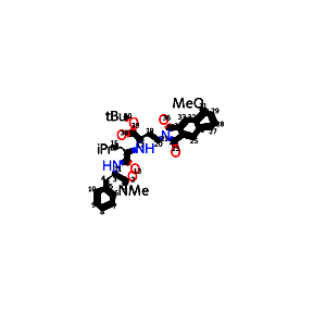 CNC(=O)[C@H](Cc1ccccc1)NC(=O)[C@H](CC(C)C)N[C@H](CCN1C(=O)c2cc3cccc(OC)c3cc2C1=O)C(=O)OC(C)(C)C